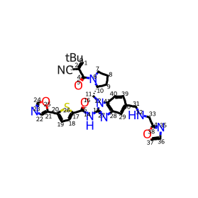 CC(C)(C)/C=C(\C#N)C(=O)N1CCC[C@@H]1Cn1c(NC(=O)c2ccc(-c3cnco3)s2)nc2cc(CNCc3ncco3)ccc21